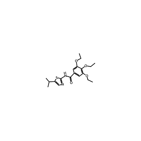 CCOc1cc(C(=O)Nc2ncc(C(C)C)s2)cc(OCC)c1OCC